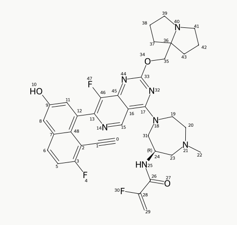 C#Cc1c(F)ccc2cc(O)cc(-c3ncc4c(N5CCN(C)C[C@@H](NC(=O)C(=C)F)C5)nc(OCC56CCCN5CCC6)nc4c3F)c12